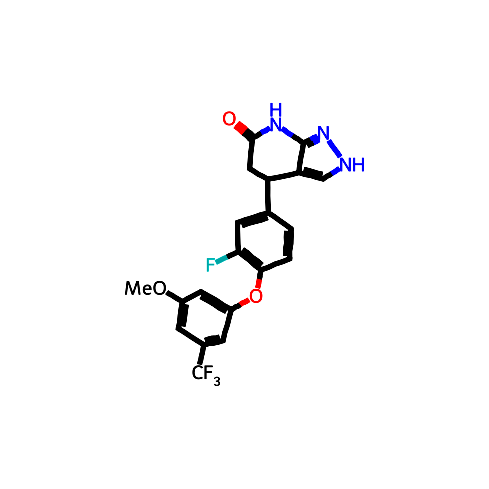 COc1cc(Oc2ccc(C3CC(=O)Nc4n[nH]cc43)cc2F)cc(C(F)(F)F)c1